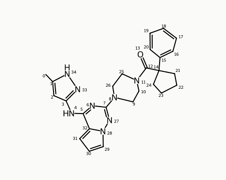 Cc1cc(Nc2nc(N3CCN(C(=O)C4(c5ccccc5)CCCC4)CC3)nn3cccc23)n[nH]1